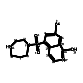 CC(=O)c1cc(S(=O)(=O)N2CCCNCC2)c2ccnc(O)c2c1